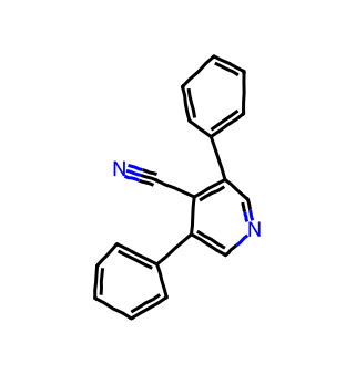 N#Cc1c(-c2ccccc2)cncc1-c1ccccc1